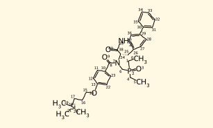 CCP(=O)(CC)CN(C(=O)c1ccc(OCCC[Si](C)(C)C)cc1)[C@@H](Cc1ccc(-c2ccccc2)cc1)C(N)=O